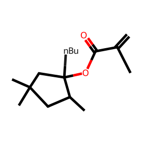 C=C(C)C(=O)OC1(CCCC)CC(C)(C)CC1C